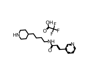 O=C(/C=C/c1cccnc1)NCCCCC1CCNCC1.O=C(O)C(F)(F)F